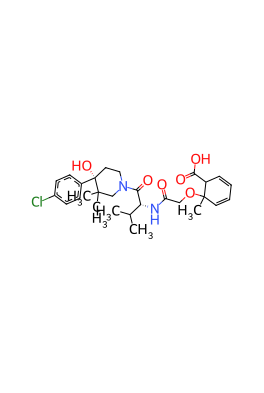 CC(C)[C@@H](NC(=O)COC1(C)C=CC=CC1C(=O)O)C(=O)N1CC[C@](O)(c2ccc(Cl)cc2)C(C)(C)C1